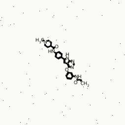 C=CC(=O)Nc1cccc(Oc2ncnc3[nH]c(-c4ccc(NC(=O)C5CCN(C)CC5)cc4)cc23)c1